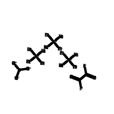 CC[N+](CC)(CC)CC.CC[N+](CC)(CC)CC.CC[N+](CC)(CC)CC.O=C(F)C(=O)F.[O-]B([O-])[O-]